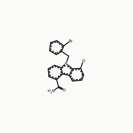 NC(=O)c1cccc2c1c1[c]ccc(Cl)c1n2Cc1ccccc1Br